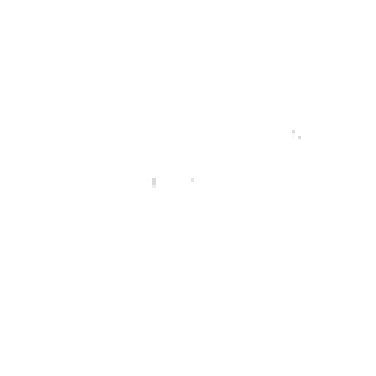 C=[N+](c1cc2c([nH]1)CCCC2)S(=O)(=O)c1ccc2[nH]ccc2c1